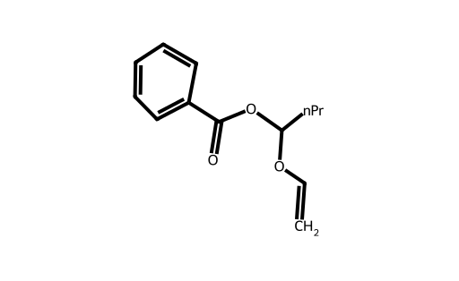 C=COC(CCC)OC(=O)c1ccccc1